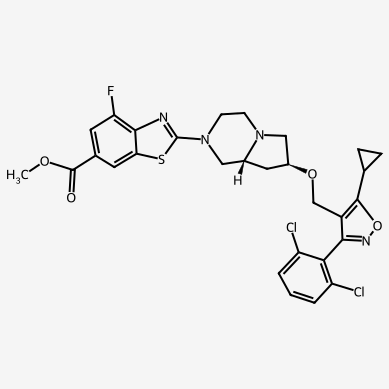 COC(=O)c1cc(F)c2nc(N3CCN4C[C@@H](OCc5c(-c6c(Cl)cccc6Cl)noc5C5CC5)C[C@@H]4C3)sc2c1